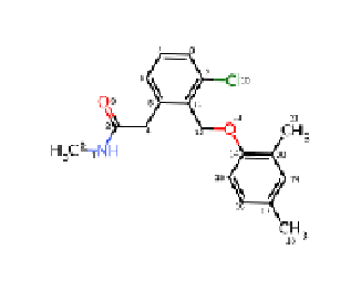 CNC(=O)Cc1cccc(Cl)c1COc1ccc(C)cc1C